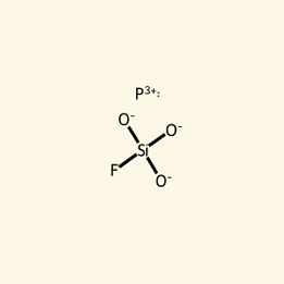 [O-][Si]([O-])([O-])F.[P+3]